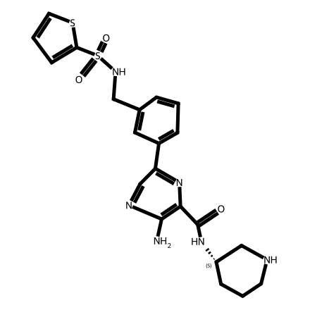 Nc1ncc(-c2cccc(CNS(=O)(=O)c3cccs3)c2)nc1C(=O)N[C@H]1CCCNC1